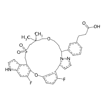 CC1(C)COCCC(c2cccc(CCC(=O)O)c2)n2nccc2-c2cc(ccc2F)Oc2c(F)cc3[nH]ccc3c2CS(=O)(=O)C1